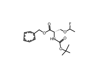 CC(F)OC[C@H](NC(=O)OC(C)(C)C)C(=O)OCc1ccccc1